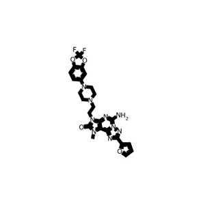 Cn1c(=O)n(CCN2CCN(c3ccc4c(c3)OC(F)(F)O4)CC2)c2nc(N)n3nc(-c4ccco4)nc3c21